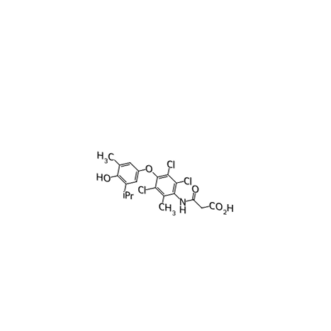 Cc1cc(Oc2c(Cl)c(C)c(NC(=O)CC(=O)O)c(Cl)c2Cl)cc(C(C)C)c1O